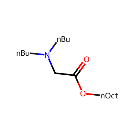 CCCCCCCCOC(=O)CN(CCCC)CCCC